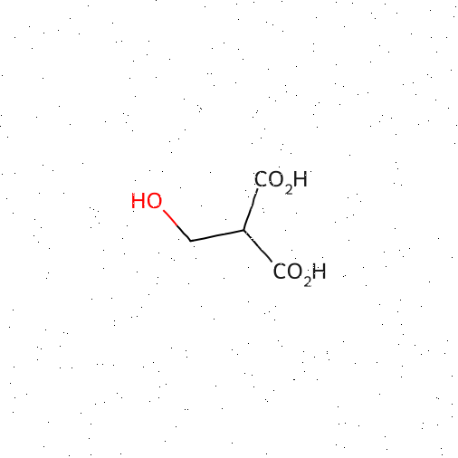 O=C(O)C(CO)C(=O)O